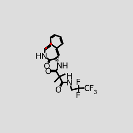 CC(C)(C(=O)NCC(F)(F)C(F)(F)F)C(=O)N[C@H]1C=C2C=CC=CC23CC=CC=C3NC1=O